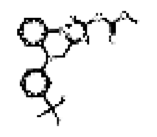 COC(=O)Oc1nc2n(n1)-c1ccccc1N(c1cccc(C(F)(F)F)c1)C2